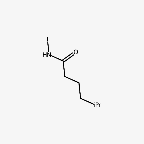 CC(C)CCCC(=O)NI